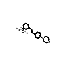 CC1(C)CCC=C(C=Cc2ccc(N3CCSCC3)cc2)C1